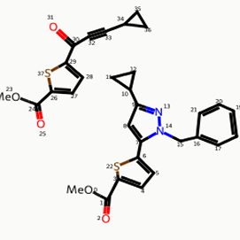 COC(=O)c1ccc(-c2cc(C3CC3)nn2Cc2ccccc2)s1.COC(=O)c1ccc(C(=O)C#CC2CC2)s1